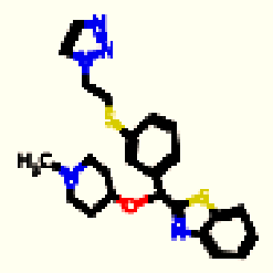 CN1CCC(OC(c2cccc(SCCn3ccnn3)c2)c2nc3ccccc3s2)CC1